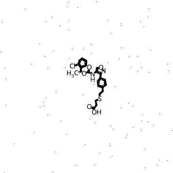 C[C@@H](OC(=O)Nc1conc1-c1ccc(CCSCCC(=O)O)cc1)c1ccccc1Cl